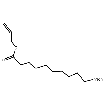 C=CCOC(=O)CCCCCCCCCCCCCCCCCC